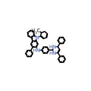 CC1CC=CC=C1n1c2ccccc2c2cc(-c3ccccc3)c(Nc3ccc(C4NC(c5ccccc5)=CC(c5ccccc5)N4)cc3)cc21